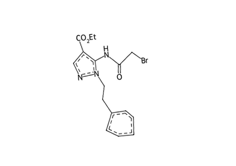 CCOC(=O)c1cnn(CCc2ccccc2)c1NC(=O)CBr